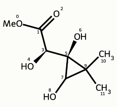 COC(=O)[C@H](O)[C@@]1(O)C(O)C1(C)C